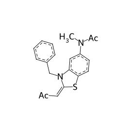 CC(=O)C=C1Sc2ccc(N(C)C(C)=O)cc2N1Cc1ccccc1